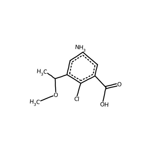 COC(C)c1cccc(C(=O)O)c1Cl.N